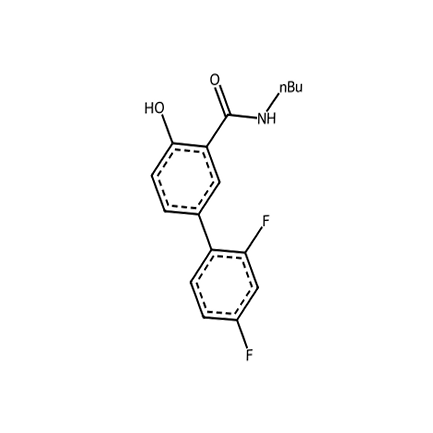 CCCCNC(=O)c1cc(-c2ccc(F)cc2F)ccc1O